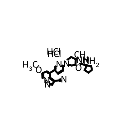 CCOc1cc(-c2ccc(N3CCC(C)(NC(=O)C4(N)CCCC4)CC3)nc2)c2c(C#N)cnn2c1.Cl.Cl